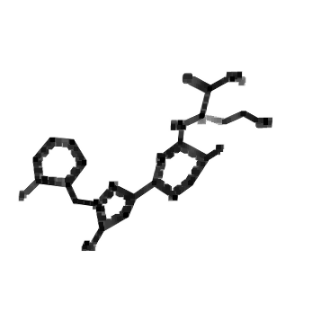 CC(=O)c1cc(-c2ncc(F)c(N[C@@H](CCO)C(N)=O)n2)nn1Cc1ccccc1F